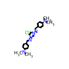 CN(C)c1ccc(/C=N/n2cc[n+](/N=C/c3ccc(N(C)C)cc3)c2)cc1.[Cl-]